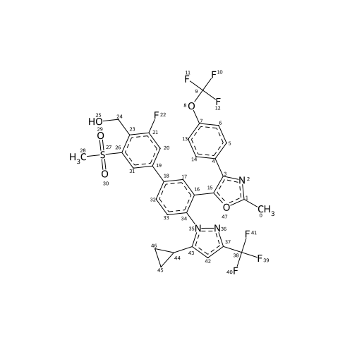 Cc1nc(-c2ccc(OC(F)(F)F)cc2)c(-c2cc(-c3cc(F)c(CO)c(S(C)(=O)=O)c3)ccc2-n2nc(C(F)(F)F)cc2C2CC2)o1